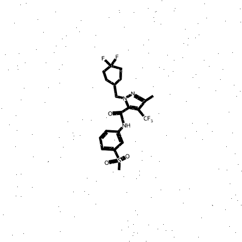 Cc1nn(CC2CCC(F)(F)CC2)c(C(=O)Nc2cccc(S(C)(=O)=O)c2)c1C(F)(F)F